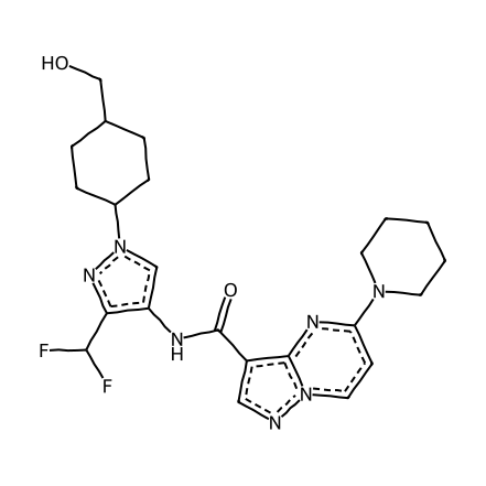 O=C(Nc1cn(C2CCC(CO)CC2)nc1C(F)F)c1cnn2ccc(N3CCCCC3)nc12